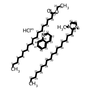 CCCCCCCCCCCCCCCCCC(=O)OCC.CCCCCCCCCCCCCCCCCc1nccn1C.Cl.c1ccc2ncccc2c1